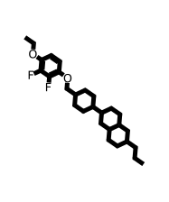 CCCC1CCC2CC(C3CCC(COc4ccc(OCC)c(F)c4F)CC3)CCC2C1